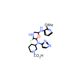 COc1ncccc1NC1CNC(F)C(N(c2ccncn2)C2CCCN(C(=O)O)C2)O1